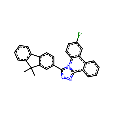 CC1(C)c2ccccc2-c2ccc(-c3nnc4c5ccccc5c5cc(Br)ccc5n34)cc21